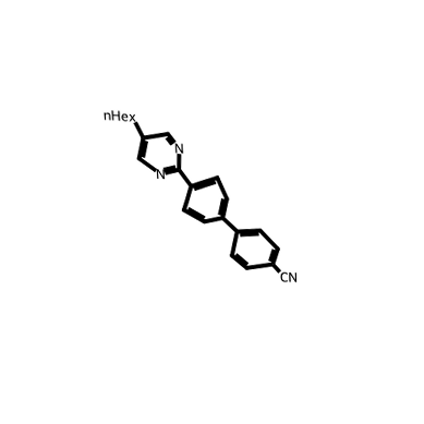 CCCCCCc1cnc(-c2ccc(-c3ccc(C#N)cc3)cc2)nc1